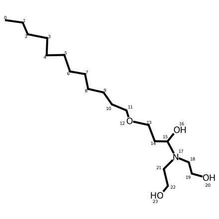 CCCCCCCCCCCCOCCC(O)N(CCO)CCO